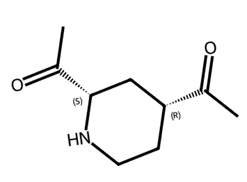 CC(=O)[C@@H]1CCN[C@H](C(C)=O)C1